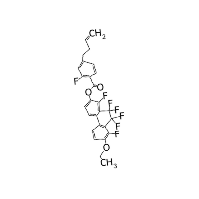 C=CCCc1ccc(C(=O)Oc2ccc3c(c2F)C(F)(F)C(F)(F)c2c-3ccc(OCC)c2F)c(F)c1